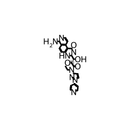 Nc1nccc2c1ccc1[nH]c(C(O)[C@H]3OCCN(c4ccn(-c5ccncc5)n4)C3=O)nc(=O)c12